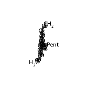 C=CC(=O)OCCCCOC(=O)C1CCC(C(=O)OC2CCC(C(=O)Oc3ccc(OC(=O)C4CCC(OC(=O)C5CCC(C(=O)OCCCCOC(=O)C=C)CC5)CC4)c(/C=N/N(CCCCC)c4nc5ccccc5s4)c3)CC2)CC1